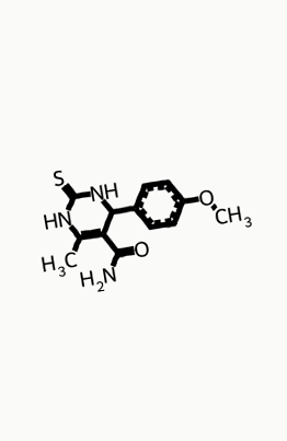 COc1ccc(C2NC(=S)NC(C)=C2C(N)=O)cc1